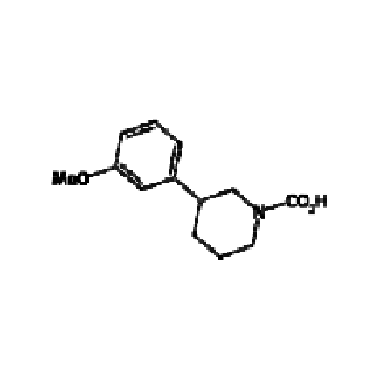 COc1cccc(C2CCCN(C(=O)O)C2)c1